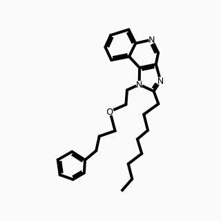 CCCCCCCCc1nc2cnc3ccccc3c2n1CCOCCCc1ccccc1